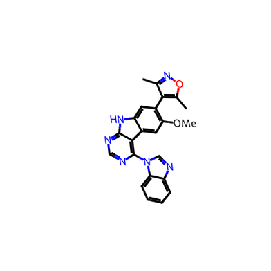 COc1cc2c(cc1-c1c(C)noc1C)[nH]c1ncnc(-n3cnc4ccccc43)c12